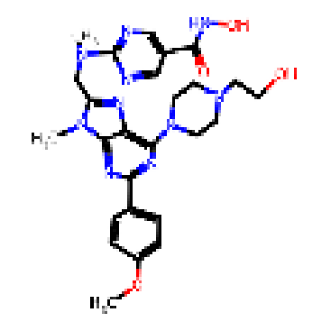 COc1ccc(-c2nc(N3CCN(CCO)CC3)c3nc(CN(C)c4ncc(C(=O)NO)cn4)n(C)c3n2)cc1